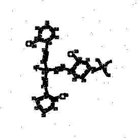 C[N+](C)(C)C.F[B-](C#Cc1ccccc1Cl)(C#Cc1ccccc1Cl)C#Cc1ccccc1Cl